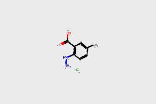 Cc1ccc(NN)c(C(=O)O)c1.Cl